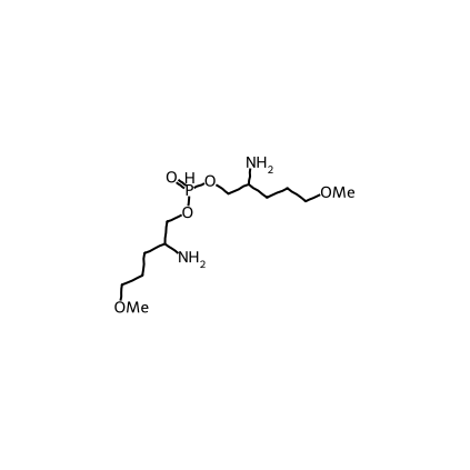 COCCCC(N)CO[PH](=O)OCC(N)CCCOC